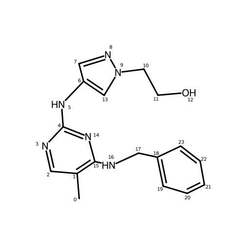 Cc1cnc(Nc2cnn(CCO)c2)nc1NCc1ccccc1